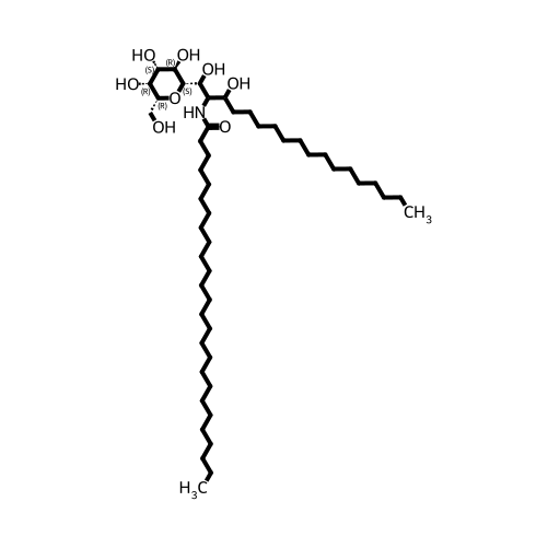 CCCCCCCCCCCCCCCCCCCCCCCCCC(=O)NC(C(O)CCCCCCCCCCCCCCC)C(O)[C@@H]1O[C@H](CO)[C@H](O)[C@H](O)[C@H]1O